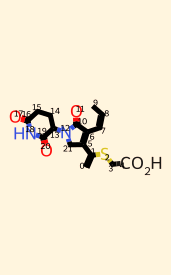 C=C(SCC(=O)O)C1=C(/C=C\C)C(=O)N(C2CCC(=O)NC2=O)C1